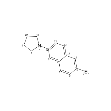 CCc1ccc2cc(N3CCCC3)ccc2c1